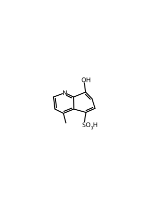 Cc1ccnc2c(O)ccc(S(=O)(=O)O)c12